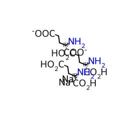 N[C@@H](CCC(=O)O)C(=O)O.N[C@@H](CCC(=O)O)C(=O)O.N[C@@H](CCC(=O)[O-])C(=O)[O-].[Na+].[Na+]